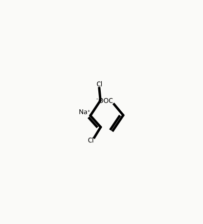 C=CC(=O)[O-].ClC=CCCl.[Na+]